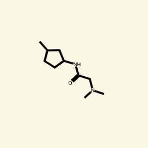 CC1CCC(NC(=O)CN(C)C)C1